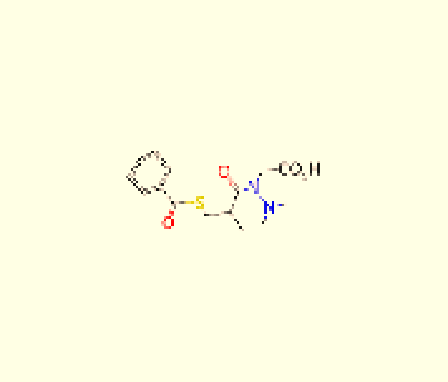 CC(CSC(=O)c1ccccc1)C(=O)N(CC(=O)O)N(C)C